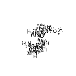 C[C@H](NC(=O)CNC(=O)[C@H](CO)NC(=O)[C@H](CO)NC(=O)[C@@H]1CCCN1C(=O)CN)C(=O)N1CCC[C@H]1C(=O)N1CCC[C@H]1C(=O)O